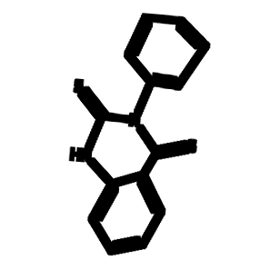 S=c1[nH]c2ccccc2c(=S)n1-c1ccccc1